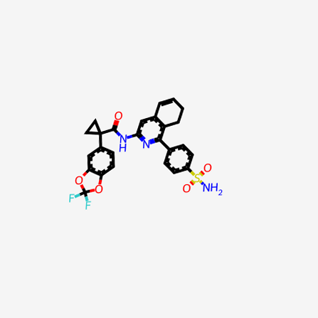 NS(=O)(=O)c1ccc(-c2nc(NC(=O)C3(c4ccc5c(c4)OC(F)(F)O5)CC3)cc3c2CCC=C3)cc1